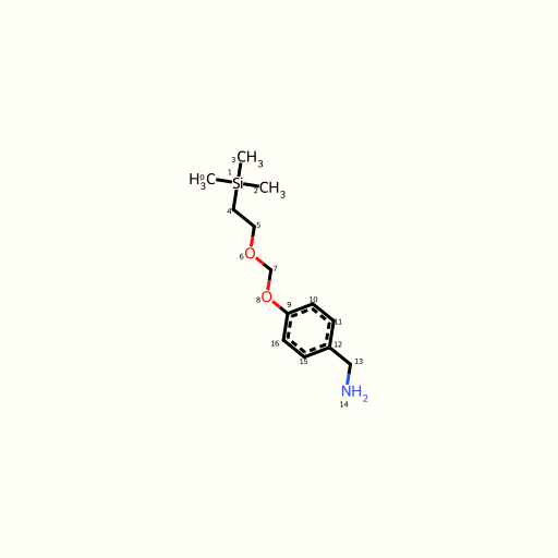 C[Si](C)(C)CCOCOc1ccc(CN)cc1